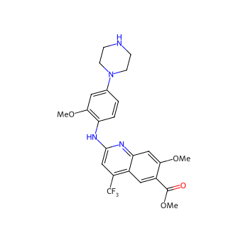 COC(=O)c1cc2c(C(F)(F)F)cc(Nc3ccc(N4CCNCC4)cc3OC)nc2cc1OC